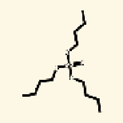 CCCC[O][Sb](=[O])([O]CCCC)[O]CCCC